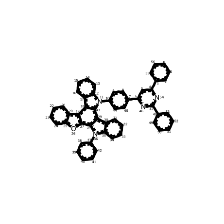 c1ccc(-c2cc(-c3ccc(-n4c5ccccc5c5c6c7ccccc7oc6c6c(c7ccccc7n6-c6ccccc6)c54)cc3)nc(-c3ccccc3)n2)cc1